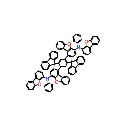 c1ccc(N(c2cccc3c2oc2ccccc23)c2cc3c(c4c2oc2ccccc24)-c2cc4c(cc2C32c3ccccc3-c3ccccc32)-c2c(cc(N(c3ccccc3)c3cccc5c3oc3ccccc35)c3oc5ccccc5c23)C42c3ccccc3-c3ccccc32)cc1